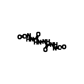 O=C=NNC(=O)NNC(=O)NN=C=O